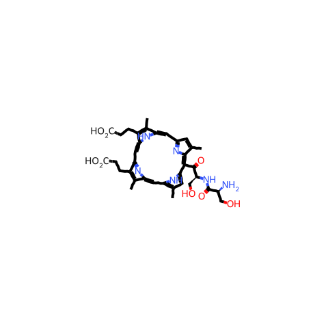 CC1=Cc2cc3[nH]c(cc4nc(cc5[nH]c(cc5C)c(C(=O)[C@H](CO)NC(=O)[C@@H](N)CO)c1n2)C(C)=C4CCC(=O)O)c(CCC(=O)O)c3C